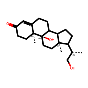 C[C@H](CO)C1CCC2C3CCC4=CC(=O)CC[C@]4(C)[C@@]3(O)CC[C@@]21C